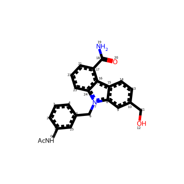 CC(=O)Nc1cccc(Cn2c3cc(CO)c[c]c3c3c(C(N)=O)cccc32)c1